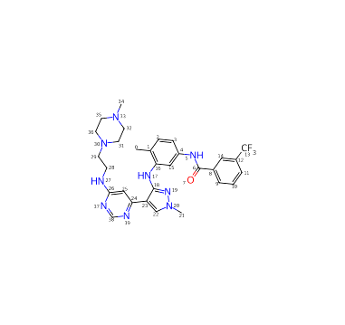 Cc1ccc(NC(=O)c2cccc(C(F)(F)F)c2)cc1Nc1nn(C)cc1-c1cc(NCCN2CCN(C)CC2)ncn1